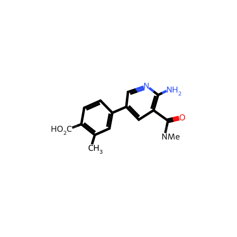 CNC(=O)c1cc(-c2ccc(C(=O)O)c(C)c2)cnc1N